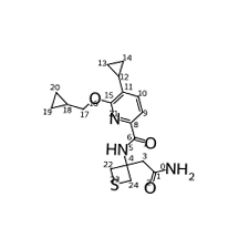 NC(=O)CC1(NC(=O)c2ccc(C3CC3)c(OCC3CC3)n2)CSC1